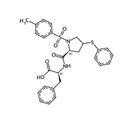 Cc1ccc(S(=O)(=O)N2CC(Sc3ccccc3)C[C@H]2C(=O)N[C@@H](Cc2ccccc2)C(=O)O)cc1